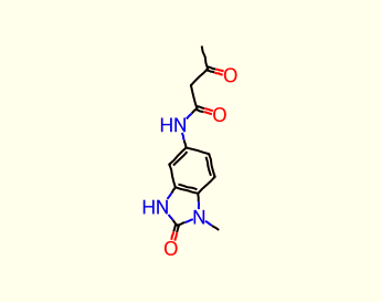 CC(=O)CC(=O)Nc1ccc2c(c1)[nH]c(=O)n2C